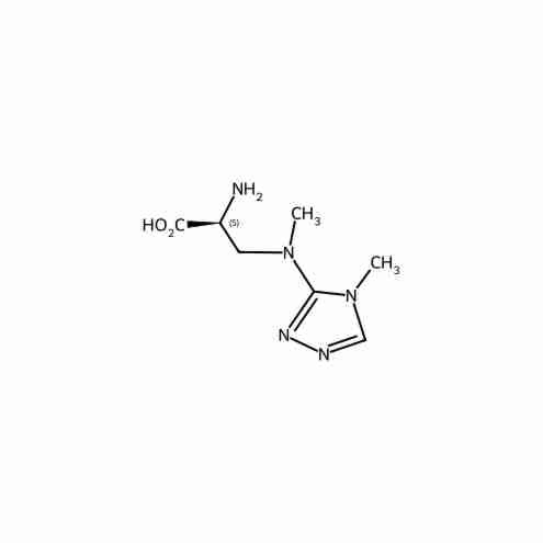 CN(C[C@H](N)C(=O)O)c1nncn1C